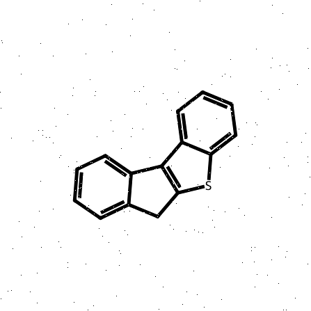 c1ccc2c(c1)Cc1sc3ccccc3c1-2